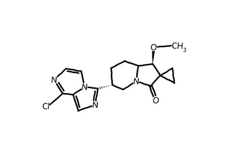 CO[C@@H]1C2CC[C@@H](c3ncc4c(Cl)nccn34)CN2C(=O)C12CC2